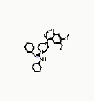 COc1cc2ncnc(N3CCN(/C(=N\C4CCCCC4)NC4CCCCC4)CC3)c2cc1OC